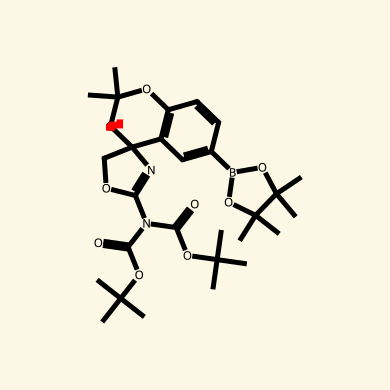 CC(C)(C)OC(=O)N(C(=O)OC(C)(C)C)C1=NC2(CO1)c1cc(B3OC(C)(C)C(C)(C)O3)ccc1OC(C)(C)C21COC1